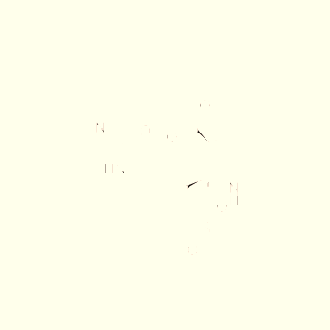 CCOC(=O)[C@H]1CCN[C@H]1c1cc(NC(=O)N(C)C)ccc1S(=O)(=O)CC